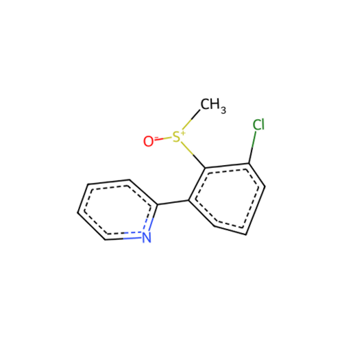 C[S+]([O-])c1c(Cl)cccc1-c1ccccn1